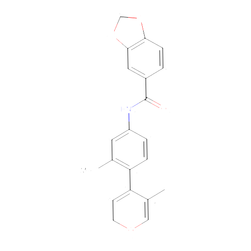 COc1cc(NC(=O)c2ccc3c(c2)OCO3)ccc1C1=CCOC=C1C